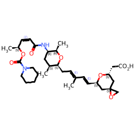 CC(/C=C/[C@@H]1C[C@]2(CO2)C[C@@H](CC(=O)O)O1)=C\C[C@@H]1O[C@H](C)[C@H](NC(=O)/C=C\[C@H](C)OC(=O)N2CCCCC2)C[C@@H]1C